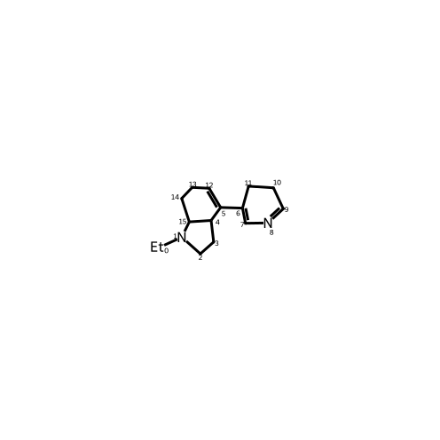 CCN1CCC2C(C3=CN=CCC3)=CCCC21